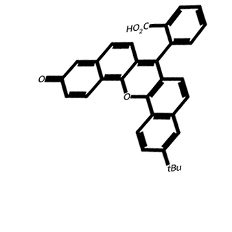 CC(C)(C)c1ccc2c(ccc3c(-c4ccccc4C(=O)O)c4ccc5cc(=O)ccc5c4oc32)c1